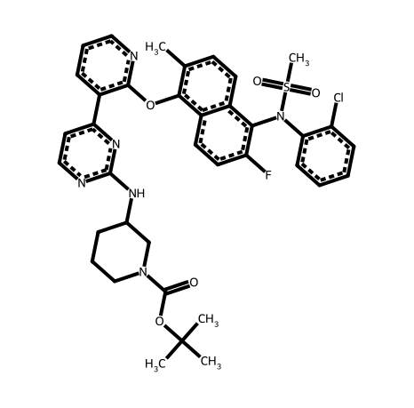 Cc1ccc2c(N(c3ccccc3Cl)S(C)(=O)=O)c(F)ccc2c1Oc1ncccc1-c1ccnc(NC2CCCN(C(=O)OC(C)(C)C)C2)n1